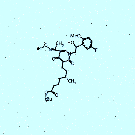 COc1ccc(F)cc1C(O)CN1C=C(/C(C)=N/OC(C)C)C(=O)C(CC[C@H](C)CCCC(=O)OC(C)(C)C)C1=O